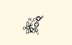 Cc1ccc(F)cc1N1CCN(C(=O)C(C)CC2(C3CC3)NC(=O)NC2=O)CC1